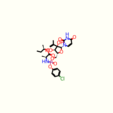 C=C(C)[C@@]1(O)[C@H](O)[C@@H](COP(=O)(N[C@@H](C)C(=O)O[C@H](C)CC)Oc2ccc(Cl)cc2)O[C@H]1n1ccc(=O)[nH]c1=O